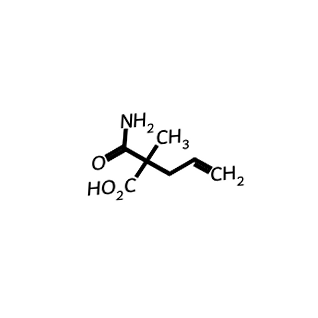 C=CCC(C)(C(N)=O)C(=O)O